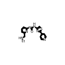 CCNCc1cccc(NC(=O)Nc2csc(-c3ccncc3)n2)n1